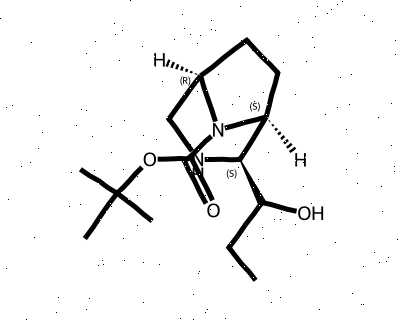 CCC(O)[C@H]1NC[C@H]2CC[C@@H]1N2C(=O)OC(C)(C)C